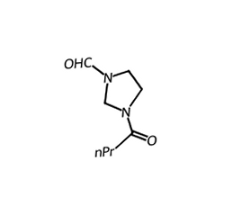 CCCC(=O)N1CCN(C=O)C1